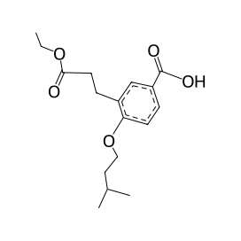 CCOC(=O)CCc1cc(C(=O)O)ccc1OCCC(C)C